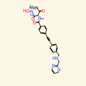 CNC(=O)C(C(=O)NO)N(C)C(=O)c1ccc(C#Cc2ccc(CNCc3ncccn3)cc2)cc1